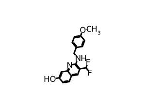 COc1ccc(CNc2nc3cc(O)ccc3cc2C(F)F)cc1